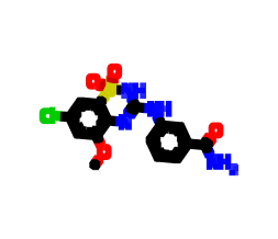 COc1cc(Cl)cc2c1N=C(Nc1cccc(C(N)=O)c1)NS2(=O)=O